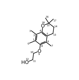 Cc1c(C)c2c(c(C)c1OCCO)CCC(C)(C)O2